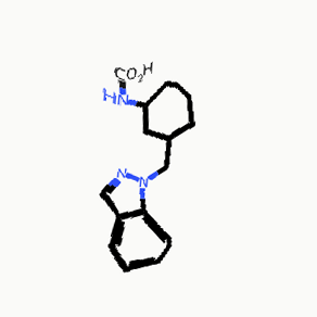 O=C(O)NC1CCCC(Cn2ncc3ccccc32)C1